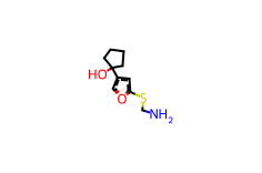 NCSc1cc(C2(O)CCCC2)co1